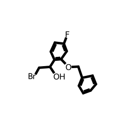 OC(CBr)c1ccc(F)cc1OCc1ccccc1